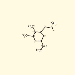 CNC1CC(C)N(C)C(COC)C1